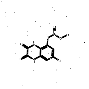 CCO[PH](=O)Oc1cc(Cl)cc2[nH]c(=O)c(=O)[nH]c12